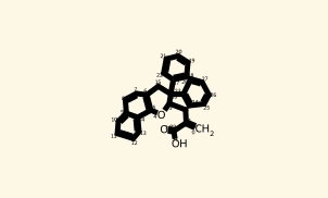 C=C(CC1Oc2c(ccc3ccccc23)CC1(c1ccccc1)c1ccccc1)C(=O)O